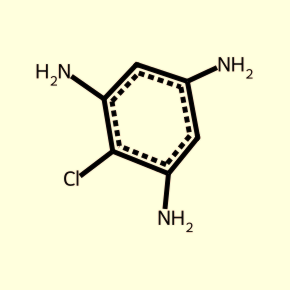 Nc1cc(N)c(Cl)c(N)c1